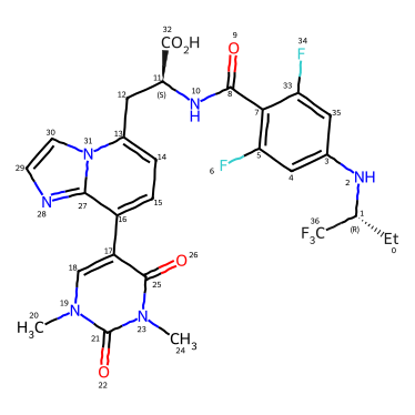 CC[C@@H](Nc1cc(F)c(C(=O)N[C@@H](Cc2ccc(-c3cn(C)c(=O)n(C)c3=O)c3nccn23)C(=O)O)c(F)c1)C(F)(F)F